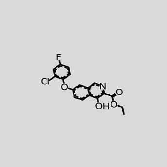 CCOC(=O)c1ncc2cc(Oc3ccc(F)cc3Cl)ccc2c1O